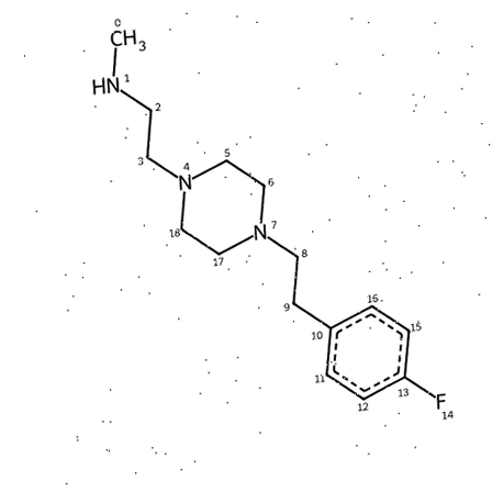 CNCCN1CCN(CCc2ccc(F)cc2)CC1